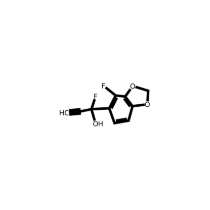 C#CC(O)(F)c1ccc2c(c1F)OCO2